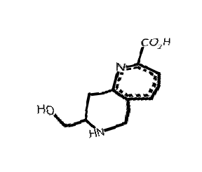 O=C(O)c1ccc2c(n1)CC(CO)NC2